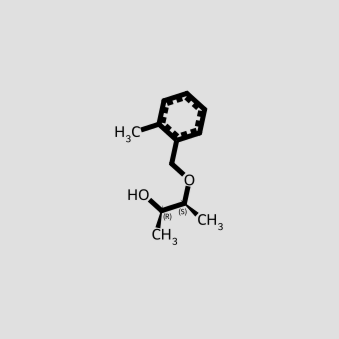 Cc1ccccc1CO[C@@H](C)[C@@H](C)O